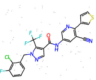 N#Cc1cc(NC(=O)c2cnn(Cc3cccc(F)c3Cl)c2C(F)(F)F)cnc1-c1ccsc1